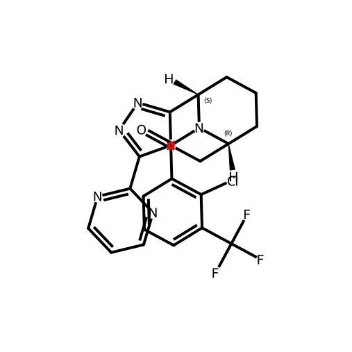 O=C(c1cccc(C(F)(F)F)c1Cl)N1[C@@H]2CCC[C@H]1c1nnc(-c3ncccn3)n1C2